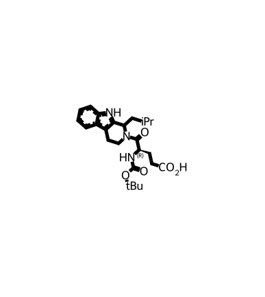 CC(C)CC1c2[nH]c3ccccc3c2CCN1C(=O)[C@@H](CCC(=O)O)NC(=O)OC(C)(C)C